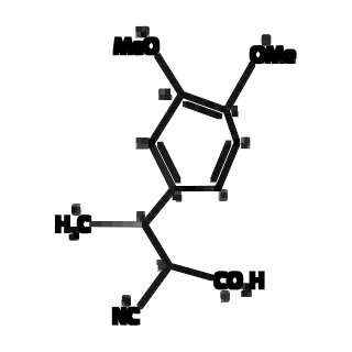 COc1ccc(C(C)C(C#N)C(=O)O)cc1OC